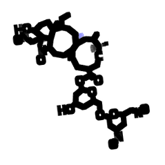 CCC1C/C=C2/CC(C)[C@H](C)CCC(C(=O)OC3CC(O)CC(COC4CC(N=O)CC(CN=O)O4)O3)CCC2(C)CCC(N=O)C2C1(C)CCC(O)[C@@]2(C)CN=O